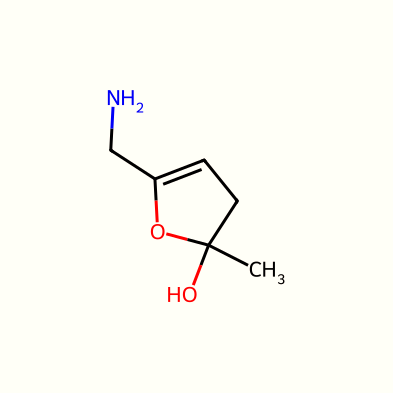 CC1(O)CC=C(CN)O1